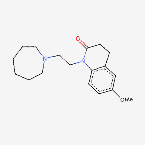 COc1ccc2c(c1)CCC(=O)N2CCN1CCCCCC1